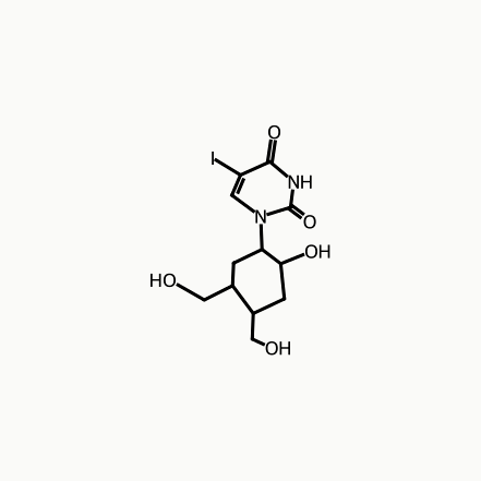 O=c1[nH]c(=O)n(C2CC(CO)C(CO)CC2O)cc1I